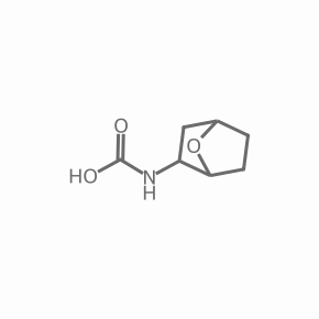 O=C(O)NC1CC2CCC1O2